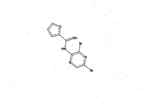 N=C(Nc1ncc(Br)nc1Br)c1ccco1